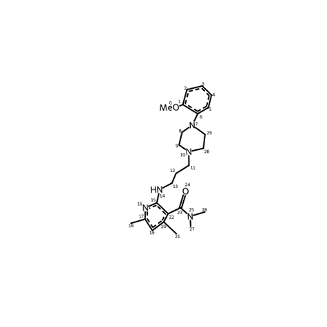 COc1ccccc1N1CCN(CCCNc2nc(C)cc(C)c2C(=O)N(C)C)CC1